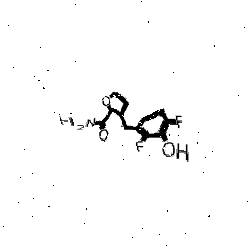 NC(=O)C1OCCC1[CH]c1ccc(F)c(O)c1F